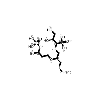 CCCCCOC[C@H](COC([C@@H](O)CO)P(=O)(O)O)OCCC(CC)OP(=O)(O)O